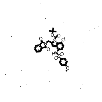 COc1ccc(S(=O)(=O)Nc2ccc(Cl)c3c2cc(CN2C(=O)c4ccccc4C2=O)n3C(=O)OC(C)(C)C)cc1